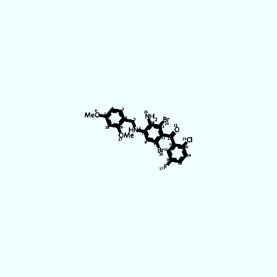 COc1ccc(CNc2cc(Br)c(C(=O)c3cc(F)ccc3Cl)c(Br)c2N)c(OC)c1